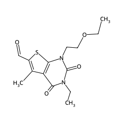 CCOCCn1c(=O)n(CC)c(=O)c2c(C)c(C=O)sc21